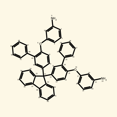 Nc1cccc(Oc2ccc(C3(c4ccc(Oc5cccc(N)c5)c(-c5ccccc5)c4)c4ccccc4-c4ccccc43)cc2-c2ccccc2)c1